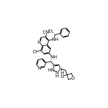 CC[C@@H](Nc1c(C#N)cnc2c(Cl)cc(N[C@H](C3=CN(CC4(O)COC4)NN3)c3cccnc3)cc12)c1ccccc1